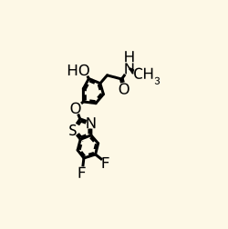 CNC(=O)Cc1ccc(Oc2nc3cc(F)c(F)cc3s2)cc1O